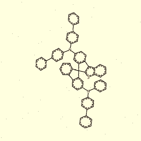 c1ccc(-c2ccc(N(c3ccccc3)c3ccc4c(c3)C3(c5ccccc5-4)c4cc(N(c5ccc(-c6ccccc6)cc5)c5ccc(-c6ccccc6)cc5)ccc4-c4c3sc3ccccc43)cc2)cc1